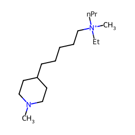 CCC[N+](C)(CC)CCCCCC1CCN(C)CC1